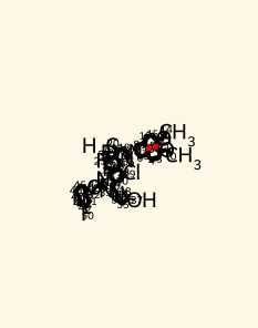 COc1ccc(CN(Cc2ccc(OC)cc2)c2cc(C)c(C(F)(F)F)c(-c3c(Cl)cc4c(N5CC[C@H](O)C5)nc(OC[C@@]56CCCN5C[C@H](F)C6)nc4c3F)n2)cc1